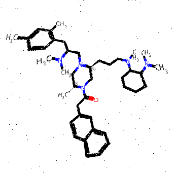 Cc1ccc(CC(CN2C[C@@H](C)N(C(=O)Cc3ccc4ccccc4c3)C[C@@H]2CCCN(C)C2CCCCC2N(C)C)N(C)C)c(C)c1